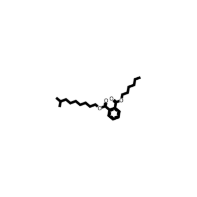 CCCCCCOC(=O)c1ccccc1C(=O)OCCCCCCCC(C)C